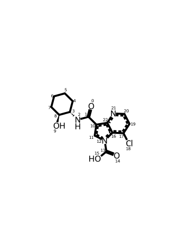 O=C(N[C@H]1CCCC[C@@H]1O)c1cn(C(=O)O)c2c(Cl)ccnc12